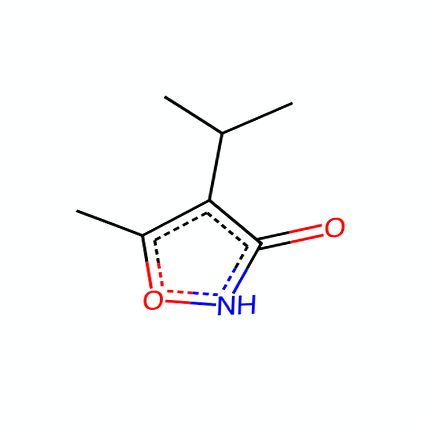 Cc1o[nH]c(=O)c1C(C)C